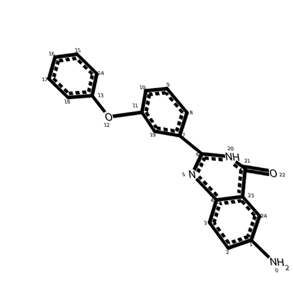 Nc1ccc2nc(-c3cccc(Oc4ccccc4)c3)[nH]c(=O)c2c1